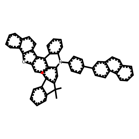 CC1(C)c2ccccc2-c2ccc(N(c3ccc(-c4ccc5c(ccc6ccccc65)c4)cc3)c3ccccc3-c3cccc4oc5c6ccccc6ccc5c34)cc21